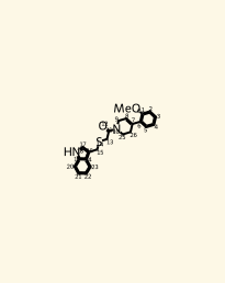 COc1ccccc1C1=CCN(C(=O)CSCc2c[nH]c3ccccc23)CC1